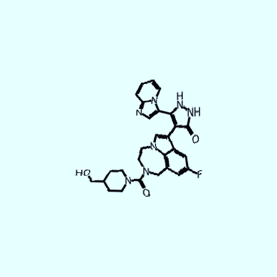 O=C(N1CCC(CO)CC1)N1CCn2cc(-c3c(-c4cnc5ccccn45)[nH][nH]c3=O)c3cc(F)cc(c32)C1